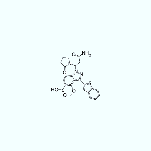 COc1c(C(=O)O)ccc2c1c(-c1cc3ccccc3s1)nn2C(CC(N)=O)N1CCCC1=O